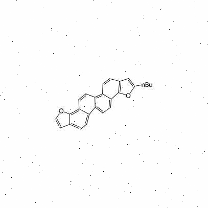 CCCCc1cc2ccc3c4ccc5c(ccc6ccoc65)c4ccc3c2o1